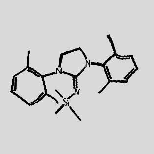 Cc1cccc(C)c1N1CCN(c2c(C)cccc2C)C1=N[Si](C)(C)C